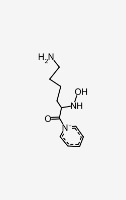 NCCCCC(NO)C(=O)[n+]1ccccc1